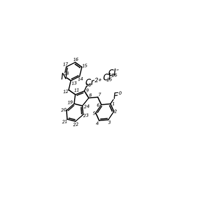 Fc1ccccc1CC1[C]([Cr+2])=C(Cc2ccccn2)c2ccccc21.[Cl-].[Cl-]